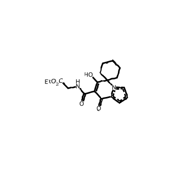 CCOC(=O)CNC(=O)C1=C(O)C2(CCCCC2)n2cccc2C1=O